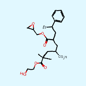 CCC(CC(CC(CC(C)(C)C(=O)OCCO)C(=O)O)C(=O)OCC1CO1)c1ccccc1